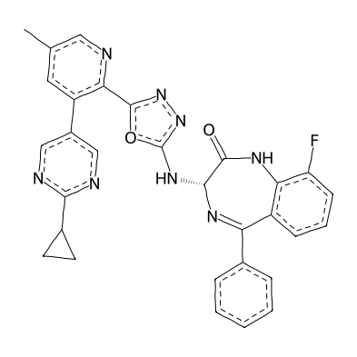 Cc1cnc(-c2nnc(N[C@H]3N=C(c4ccccc4)c4cccc(F)c4NC3=O)o2)c(-c2cnc(C3CC3)nc2)c1